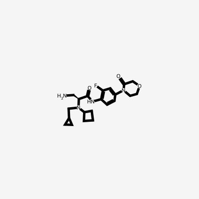 NC[C@@H](C(=O)Nc1ccc(N2CCOCC2=O)cc1F)N(CC1CC1)C1CCC1